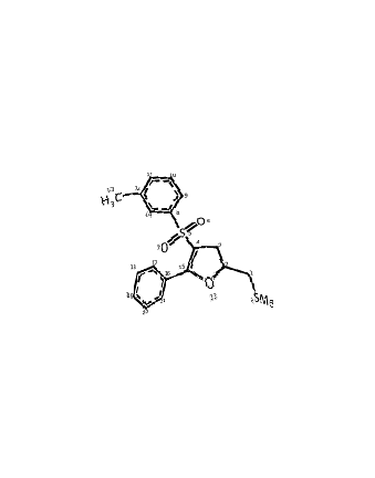 CSCC1CC(S(=O)(=O)c2cccc(C)c2)=C(c2ccccc2)O1